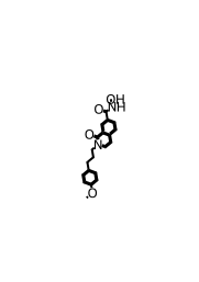 COc1ccc(CCCn2ccc3ccc(C(=O)NO)cc3c2=O)cc1